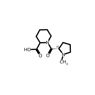 CN1CCC[C@H]1C(=O)N1CCCCC1C(=O)O